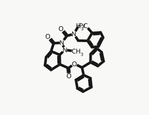 Cc1ccccc1CN(C(=O)n1c(=O)c2cccc(C(=O)OC(c3ccccc3)c3ccccc3)c2n1C)C(C)C